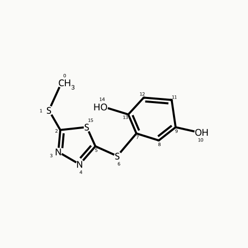 CSc1nnc(Sc2cc(O)ccc2O)s1